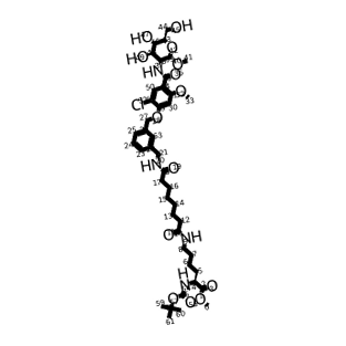 COC(=O)[C@H](CCCCNC(=O)CCCCCCC(=O)NCc1cccc(COc2cc(OC)c(C(=O)N[C@H]3[C@@H](OC)O[C@H](CO)[C@@H](O)[C@@H]3O)cc2Cl)c1)NC(=O)OC(C)(C)C